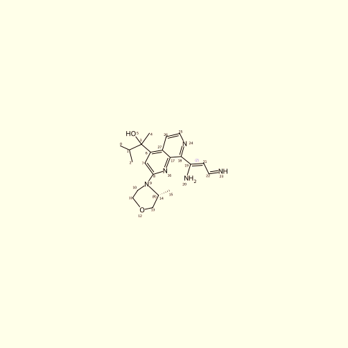 CC(C)C(C)(O)c1cc(N2CCOC[C@H]2C)nc2c(/C(N)=C/C=N)nccc12